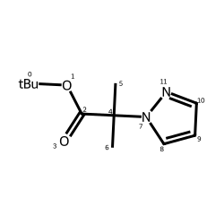 CC(C)(C)OC(=O)C(C)(C)n1cccn1